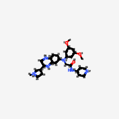 COc1cc(OC)cc(N(CC(=O)Nc2ccncc2)c2ccc3ncc(-c4ccn(C)c4)nc3c2)c1